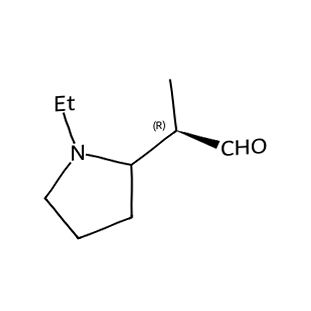 CCN1CCCC1[C@@H](C)C=O